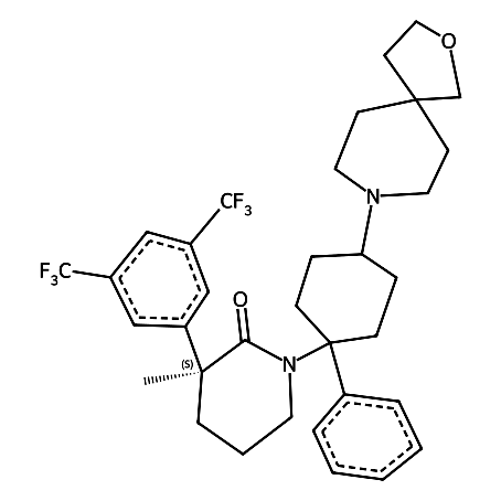 C[C@@]1(c2cc(C(F)(F)F)cc(C(F)(F)F)c2)CCCN(C2(c3ccccc3)CCC(N3CCC4(CCOC4)CC3)CC2)C1=O